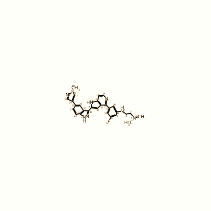 CN(C)CCNc1cc(F)cc(-c2nccc3[nH]c(-c4n[nH]c5ccc(-c6cnn(C)c6)cc45)cc23)c1